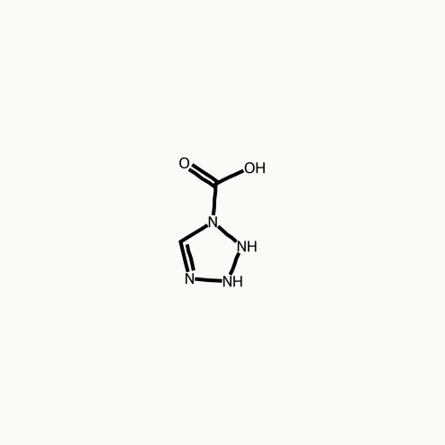 O=C(O)N1C=NNN1